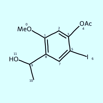 COc1cc(OC(C)=O)c(I)cc1C(C)O